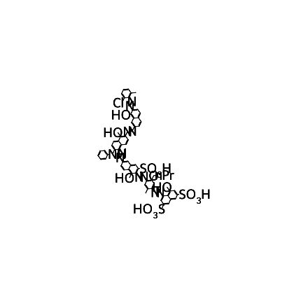 CCCOc1cc(N=Nc2cc(S(=O)(=O)O)cc3cc(S(=O)(=O)O)cc(O)c23)c(C)cc1N=Nc1c(S(=O)(=O)O)cc2cc(N=Nc3c(Nc4ccccc4)ccc4c(O)c(N=Nc5ccc6ccc(N=Nc7c(C)cccc7Cl)c(O)c6c5)ccc34)ccc2c1O